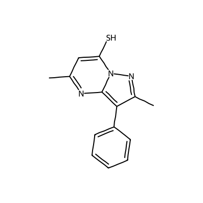 Cc1cc(S)n2nc(C)c(-c3ccccc3)c2n1